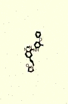 Cc1cc(Nc2ncnc3ccc(C#CCN4CCCC4=O)cc23)ccc1Oc1ccccc1